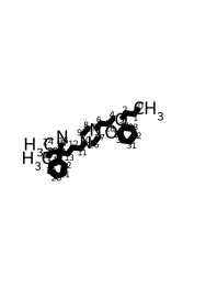 CCCOCC(CN1CCN(CCCC(C#N)(c2ccccc2)C(C)C)CC1)Oc1ccccc1